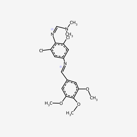 COc1cc(/C=N/c2cc(Cl)c(/N=C\N(C)C)c(Cl)c2)cc(OC)c1OC